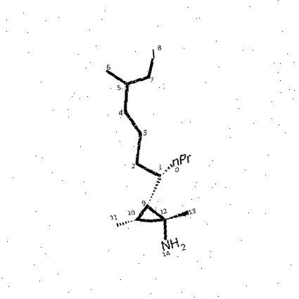 CCC[C@@H](CCCC(C)CI)[C@H]1[C@@H](C)[C@@]1(C)N